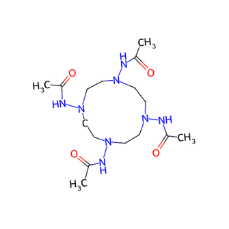 CC(=O)NN1CCN(NC(C)=O)CCN(NC(C)=O)CCN(NC(C)=O)CC1